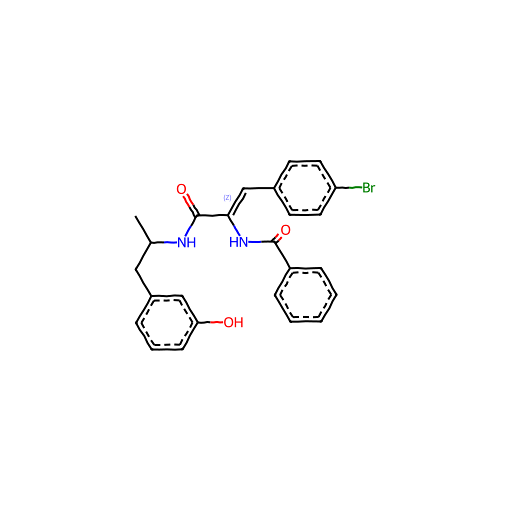 CC(Cc1cccc(O)c1)NC(=O)/C(=C/c1ccc(Br)cc1)NC(=O)c1ccccc1